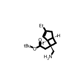 CCC1=C[C@H]2[C@@H](C1)C[C@]2(CN)CC(=O)OC(C)(C)C